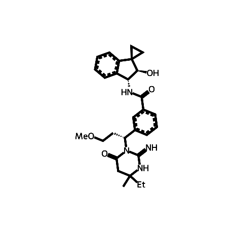 CCC1(C)CC(=O)N([C@H](CCOC)c2cccc(C(=O)N[C@@H]3c4ccccc4C4(CC4)[C@H]3O)c2)C(=N)N1